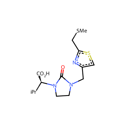 CSCc1nc(CN2CCN([C@H](C(=O)O)C(C)C)C2=O)cs1